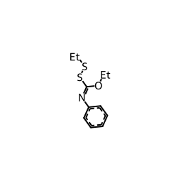 CCO/C(=N\c1ccccc1)SSCC